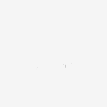 Cc1ccccc1C.N#CO